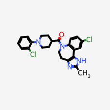 Cc1nc2c([nH]1)-c1cc(Cl)ccc1N(C(=O)C1CCN(c3ccccc3Cl)CC1)CC2